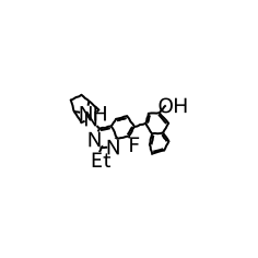 CCc1nc(N2CC3CCC(C2)N3)c2ccc(-c3cc(O)cc4ccccc34)c(F)c2n1